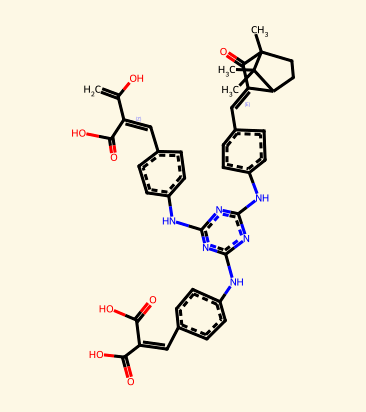 C=C(O)/C(=C/c1ccc(Nc2nc(Nc3ccc(C=C(C(=O)O)C(=O)O)cc3)nc(Nc3ccc(/C=C4/C(=O)C5(C)CCC4C5(C)C)cc3)n2)cc1)C(=O)O